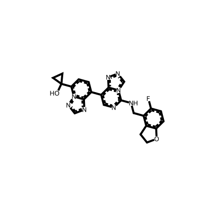 OC1(c2ccc(-c3cnc(NCc4c(F)ccc5c4CCO5)n4cnnc34)c3ncnn23)CC1